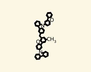 Cc1cc(Cc2ccc3c(c2)c2ccccc2n3-c2ccc3oc4ccccc4c3c2)c2oc3ccc(-n4c5ccccc5c5ccccc54)cc3c2c1